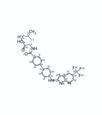 CC(C)C[C@H](NC(=O)c1ccc(-c2ccc(Nc3nc4ncc(C(F)(F)F)cc4s3)cc2)cc1)C(=O)O